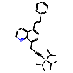 CC(C)[Si](C#CCc1ccc(C=Cc2ccccc2)c2cccnc12)(C(C)C)C(C)C